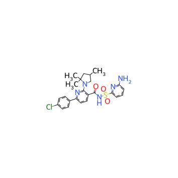 CC1CN(c2nc(-c3ccc(Cl)cc3)ccc2C(=O)NS(=O)(=O)c2cccc(N)n2)C(C)(C)C1